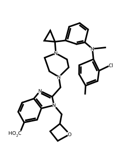 Cc1ccc(N(C)c2cccc(C3(N4CCN(Cc5nc6ccc(C(=O)O)cc6n5CC5CCO5)CC4)CC3)c2)c(Cl)c1